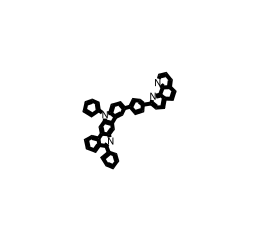 c1ccc(-c2nc3cc4c5cc(-c6ccc(-c7ccc8ccc9cccnc9c8n7)cc6)ccc5n(-c5ccccc5)c4cc3c3ccccc23)cc1